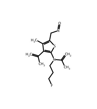 C=C(C)c1c(N(CCCF)C(=C)C)sc(CN=O)c1C